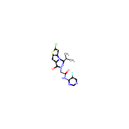 CC(C)c1nn(CC(=O)Nc2ncncc2F)c(=O)c2cc3sc(Cl)cc3n12